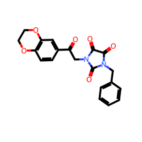 O=C(CN1C(=O)C(=O)N(Cc2ccccc2)C1=O)c1ccc2c(c1)OCCO2